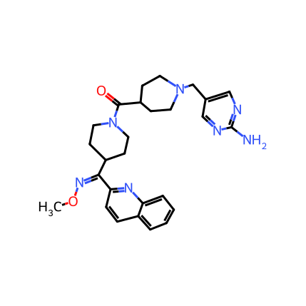 CO/N=C(\c1ccc2ccccc2n1)C1CCN(C(=O)C2CCN(Cc3cnc(N)nc3)CC2)CC1